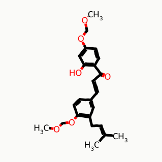 COCOc1ccc(C(=O)C=Cc2ccc(OCOC)c(CC=C(C)C)c2)c(O)c1